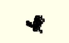 COc1cccc(CN(C)C(=O)CSC=S)c1